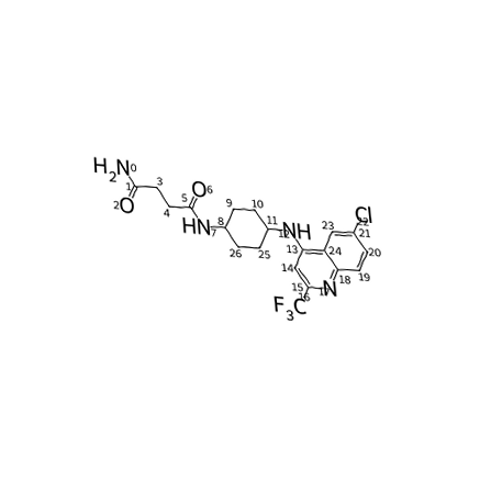 NC(=O)CCC(=O)NC1CCC(Nc2cc(C(F)(F)F)nc3ccc(Cl)cc23)CC1